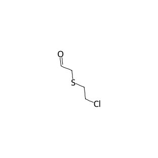 O=CCSCCCl